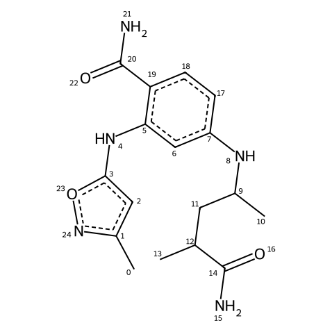 Cc1cc(Nc2cc(NC(C)CC(C)C(N)=O)ccc2C(N)=O)on1